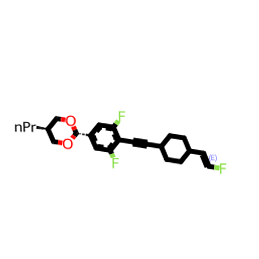 CCC[C@H]1CO[C@H](c2cc(F)c(C#CC3CCC(/C=C/F)CC3)c(F)c2)OC1